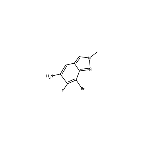 Cn1cc2cc(N)c(F)c(Br)c2n1